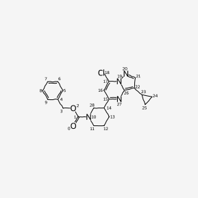 O=C(OCc1ccccc1)N1CCCC(c2cc(Cl)n3ncc(C4CC4)c3n2)C1